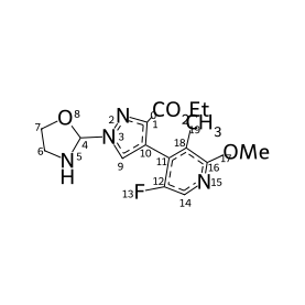 CCOC(=O)c1nn(C2NCCO2)cc1-c1c(F)cnc(OC)c1C